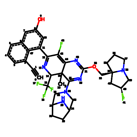 C#Cc1cccc2cc(O)cc(C3=NC(C(F)(F)F)C4(C)C(N5CC6CCC(C5)N6)=NC(OC[C@@]56CCCN5C[C@H](F)C6)=NC4=C3F)c12